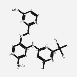 COc1ccnc(COc2cnc(NC(C)=O)cc2Nc2cc(C)nc(C(C)(F)F)n2)n1